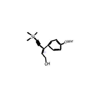 COc1ccc(/C(C#C[Si](C)(C)C)=C\CO)cc1